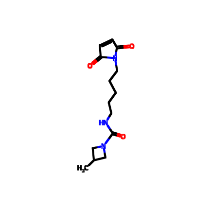 CC1CN(C(=O)NCCCCCN2C(=O)C=CC2=O)C1